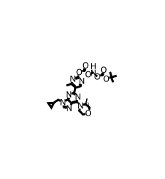 Cc1nc(OC(=O)ONOC(=O)OC(C)(C)C)ncc1-c1nc(N2CCOC[C@@H]2C)c2ncn(CC3CC3)c2n1